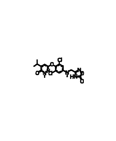 CC(C)c1cc(Oc2c(Cl)cc(N(C)Cc3noc(=O)[nH]3)cc2Cl)nn(C)c1=O